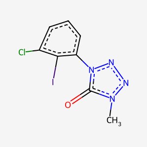 Cn1nnn(-c2cccc(Cl)c2I)c1=O